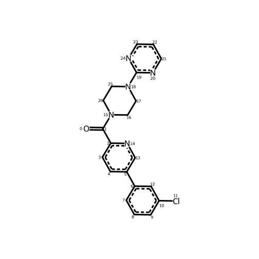 O=C(c1ccc(-c2cccc(Cl)c2)cn1)N1CCN(c2ncccn2)CC1